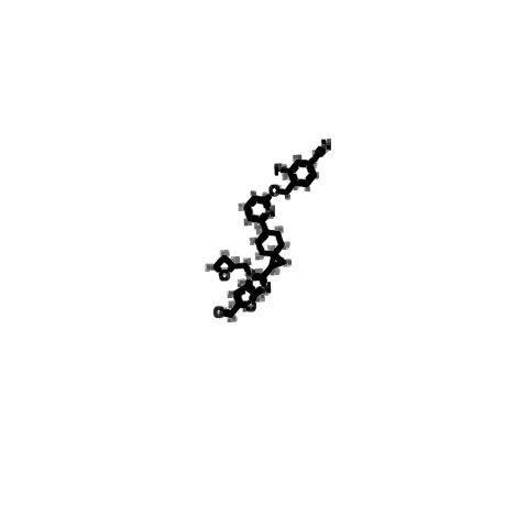 N#Cc1ccc(COc2cccc(C3=CCC4(CC3)CC4c3nc4oc(C=O)cc4n3CC3CCO3)n2)c(F)c1